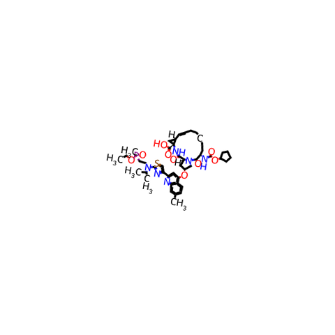 CCOP(C)(=O)CCN(c1nc(-c2cc(O[C@@H]3C[C@H]4C(=O)N[C@]5(C(=O)O)C[C@H]5/C=C\CCCCC[C@H](NC(=O)OC5CCCC5)C(=O)N4C3)c3ccc(C)cc3n2)cs1)C(C)C